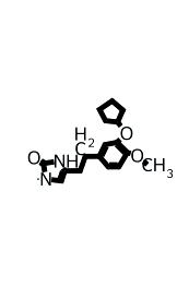 C=C(CC1=C[N]C(=O)N1)c1ccc(OC)c(OC2CCCC2)c1